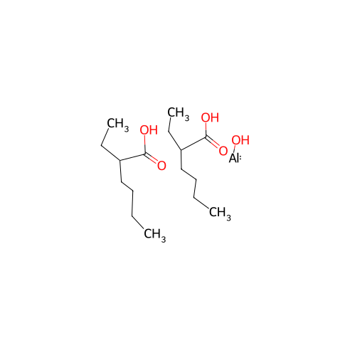 CCCCC(CC)C(=O)O.CCCCC(CC)C(=O)O.[OH][Al]